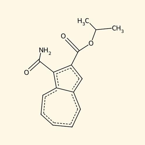 CC(C)OC(=O)c1cc2cccccc-2c1C(N)=O